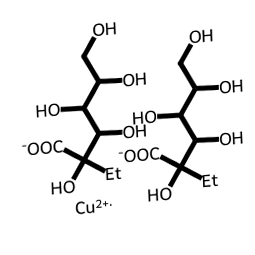 CCC(O)(C(=O)[O-])C(O)C(O)C(O)CO.CCC(O)(C(=O)[O-])C(O)C(O)C(O)CO.[Cu+2]